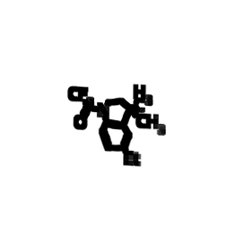 CCc1ccc2c(c1)C(C)(C)CCN2C(=O)C(F)(F)F